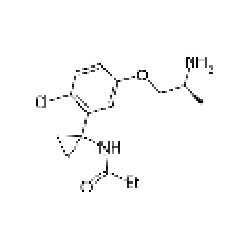 CCC(=O)NC1(c2cc(OC[C@H](C)N)ccc2Cl)CC1